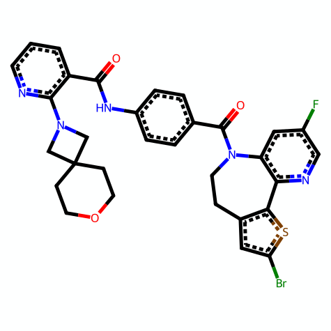 O=C(Nc1ccc(C(=O)N2CCc3cc(Br)sc3-c3ncc(F)cc32)cc1)c1cccnc1N1CC2(CCOCC2)C1